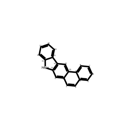 [c]1c2ccc3ccccc3c2cc2c1[nH]c1ccccc12